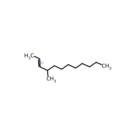 C/C=C/C(C)CCCCCCCC